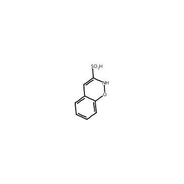 O=S(=O)(O)C1=Cc2ccccc2ON1